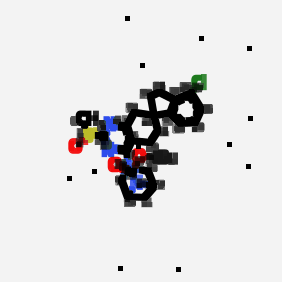 C[S+]([O-])c1nc2c(c(N3CC4CC(C3)N4C(=O)OC(C)(C)C)n1)CCC1(CCc3c(Cl)cccc31)C2